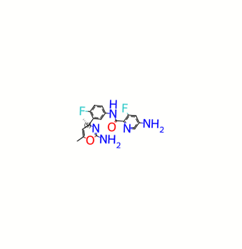 CC1=C[C@@](C)(c2cc(NC(=O)c3ncc(N)cc3F)ccc2F)N=C(N)O1